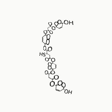 O=C(O)/C=C\C(=O)OC(=O)CC(=O)OC(=O)/C=C\C(=O)OC(=O)CC(S)C(=O)OC(=O)/C=C\C(=O)OC(=O)CC(=O)OC(=O)/C=C\C(=O)O